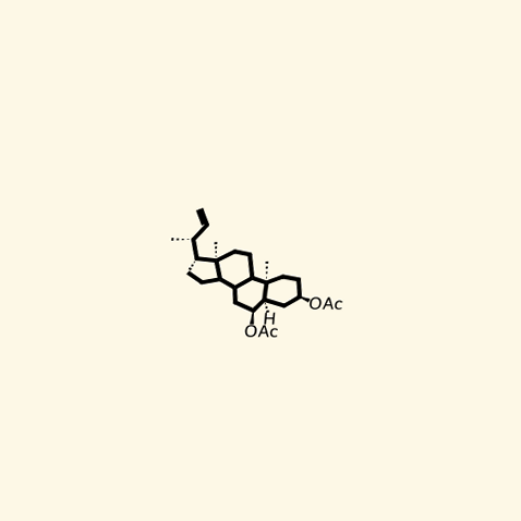 C=C[C@@H](C)[C@H]1CCC2C3C[C@H](OC(C)=O)[C@@H]4C[C@H](OC(C)=O)CC[C@]4(C)C3CC[C@@]21C